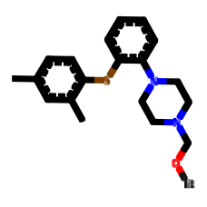 CCOCN1CCN(c2ccccc2Sc2ccc(C)cc2C)CC1